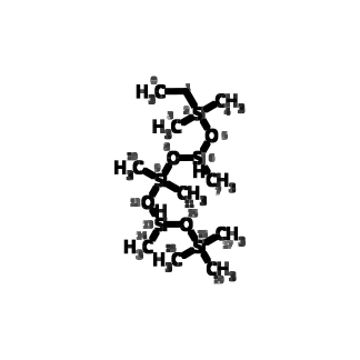 CC[Si](C)(C)O[SiH](C)O[Si](C)(C)O[SiH](C)O[Si](C)(C)C